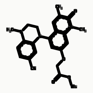 Cc1cc2c(N3CCN(C)c4ccc(C#N)cc43)cc(OCC(=O)OC(C)(C)C)cc2n(C)c1=O